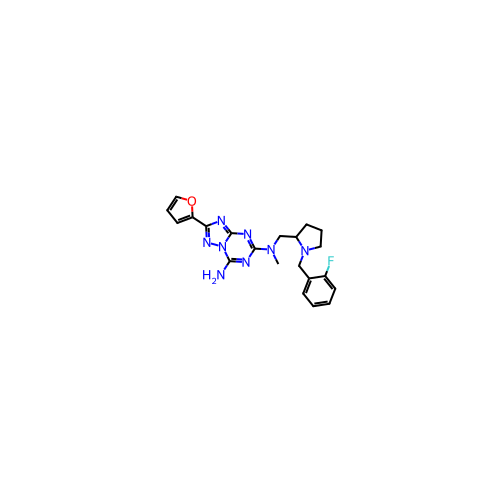 CN(CC1CCCN1Cc1ccccc1F)c1nc(N)n2nc(-c3ccco3)nc2n1